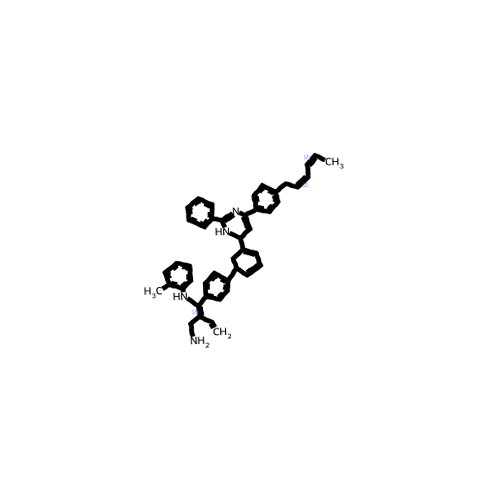 C=C/C(CN)=C(/Nc1ccccc1C)c1ccc(C2C=CC=C(C3C=C(c4ccc(C/C=C\C=C/C)cc4)N=C(c4ccccc4)N3)C2)cc1